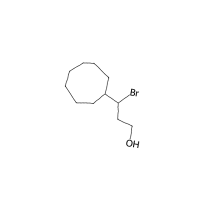 OCCC(Br)C1CCCCCCC1